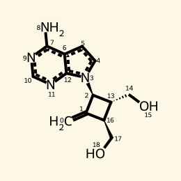 C=C1[C@@H](n2ccc3c(N)ncnc32)[C@H](CO)[C@H]1CO